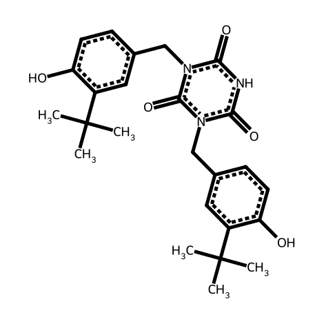 CC(C)(C)c1cc(Cn2c(=O)[nH]c(=O)n(Cc3ccc(O)c(C(C)(C)C)c3)c2=O)ccc1O